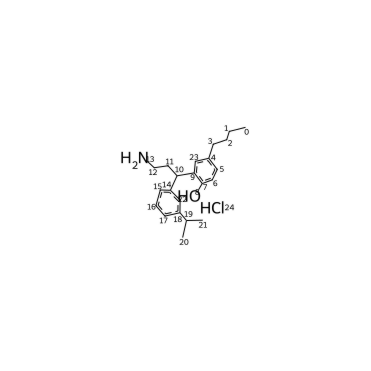 CCCCc1ccc(O)c(C(CCN)c2cccc(C(C)C)c2)c1.Cl